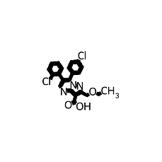 CCOCc1nn2c(-c3ccc(Cl)cc3)c(-c3ccccc3Cl)cnc2c1C(=O)O